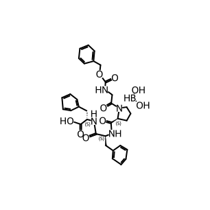 O=C(NCC(=O)N1CCC[C@H]1C(=O)N[C@@H](Cc1ccccc1)C(=O)N[C@@H](Cc1ccccc1)C(=O)O)OCc1ccccc1.OBO